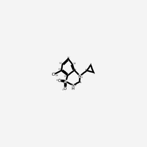 O=S1(=O)NCN(C2CC2)c2cccc(Cl)c21